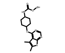 Cc1sc2ncnc(OC3CCC(NC(=O)OC(C)(C)C)CC3)c2c1C